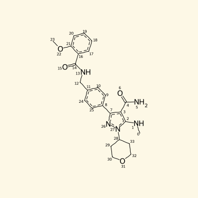 CNc1c(C(N)=O)c(-c2ccc(CNC(=O)c3ccccc3OC)cc2)nn1C1CCOCC1